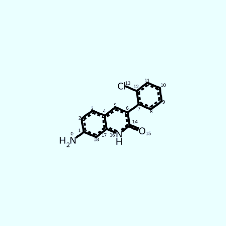 Nc1ccc2cc(-c3ccccc3Cl)c(=O)[nH]c2c1